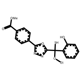 CCOC(S)(c1nnc(-c2ccc(C(=O)OC)cc2)o1)c1ccccc1O